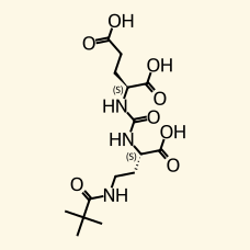 CC(C)(C)C(=O)NCC[C@H](NC(=O)N[C@@H](CCC(=O)O)C(=O)O)C(=O)O